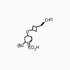 CC(C)(C)C1CC(OC2CC(C#CC=O)C2)CCN1C(=O)O